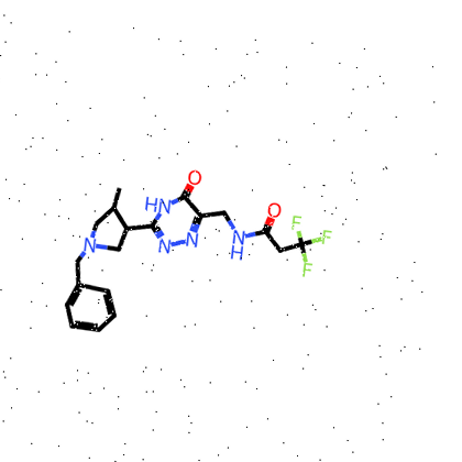 CC1CN(Cc2ccccc2)CC1c1nnc(CNC(=O)CC(F)(F)F)c(=O)[nH]1